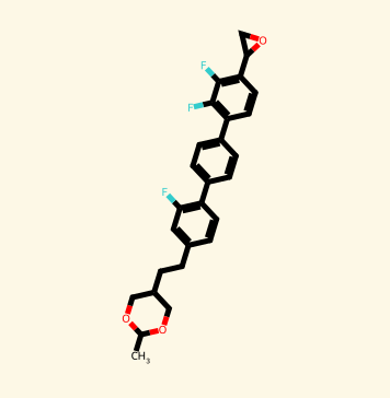 CC1OCC(CCc2ccc(-c3ccc(-c4ccc(C5CO5)c(F)c4F)cc3)c(F)c2)CO1